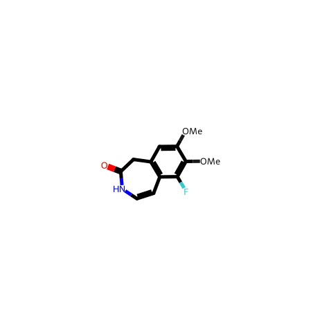 COc1cc2c(c(F)c1OC)C=CNC(=O)C2